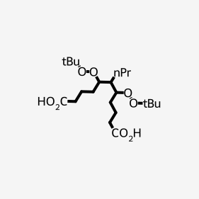 [CH2]CCC(C(CCCC(=O)O)OOC(C)(C)C)C(CCCC(=O)O)OOC(C)(C)C